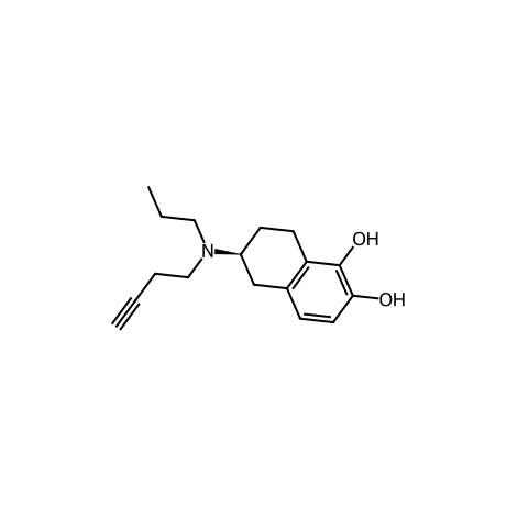 C#CCCN(CCC)[C@H]1CCc2c(ccc(O)c2O)C1